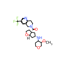 COC1COCCC1N[C@@H]1C[C@H]2OCC[C@@]2(C(=O)N2CCc3ncc(C(F)(F)F)cc3C2)C1